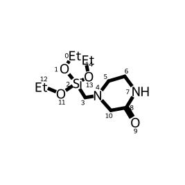 CCO[Si](CN1CCNC(=O)C1)(OCC)OCC